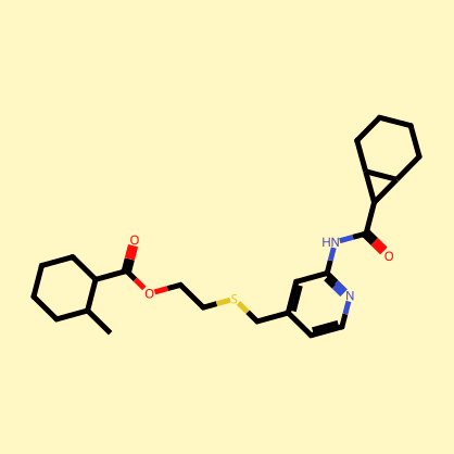 CC1CCCCC1C(=O)OCCSCc1ccnc(NC(=O)C2C3CCCCC32)c1